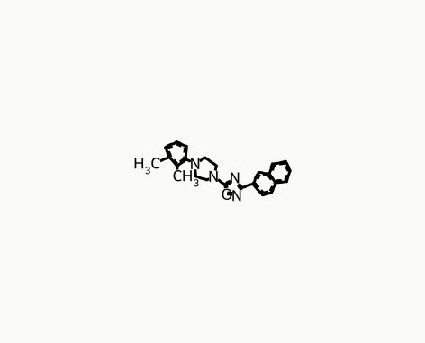 Cc1cccc(N2CCN(c3nc(-c4ccc5ccccc5c4)no3)CC2)c1C